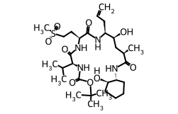 C=CC[C@H](NC(=O)[C@H](CCS(C)(=O)=O)NC(=O)[C@@H](NC(=O)OC(C)(C)C)C(C)C)[C@@H](O)C[C@@H](C)C(=O)N[C@@H]1CCCC[C@H]1O